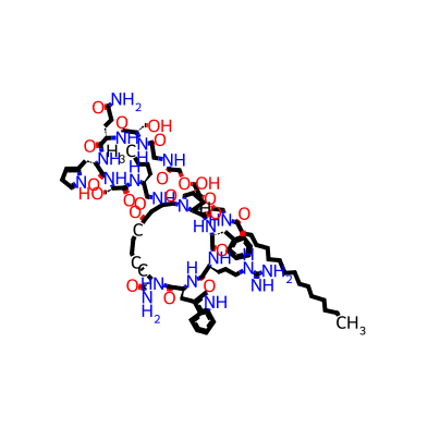 CCCCCCCCCCCCCCCC(=O)NCCOCCOCC(=O)NCC(=O)N[C@@H](CO)C(=O)N[C@@H](CCC(N)=O)C(=O)N[C@@H](CC1=CCC=N1)C(=O)N[C@@H](CO)C(=O)N[C@@H](CCCC)C(=O)N[C@H]1CC(=O)CCCCC[C@@H](C(N)=O)NC(=O)[C@H](Cc2c[nH]c3ccccc23)NC(=O)[C@H](CCCNC(=N)N)NC(=O)[C@@H](Cc2ccccc2)NC(=O)[C@@H]2C[C@@H](O)CN2C1=O